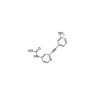 Nc1cccc(C#Cc2cc(NC(=O)O)ccn2)c1